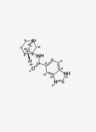 O=C(N[C@H]1CN2CCC1CC2)c1ccc2[nH]cnc2c1